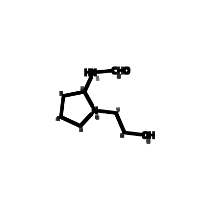 O=CNC1CCCN1CCO